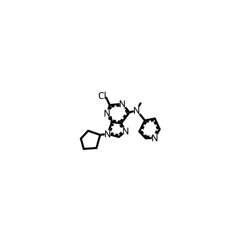 CN(c1ccncc1)c1nc(Cl)nc2c1ncn2C1CCCC1